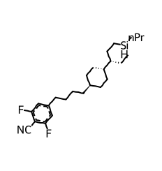 CCC[Si@H]1CC[C@H]([C@H]2CC[C@H](CCCCc3cc(F)c(C#N)c(F)c3)CC2)CC1